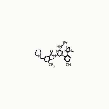 CC(C)CNc1cc(-c2cc(C#N)ccc2-c2nncn2C)cc(N2Cc3c(cc(CN4CCCCC4)cc3C(F)(F)F)C2=O)n1